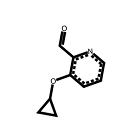 O=Cc1ncccc1OC1CC1